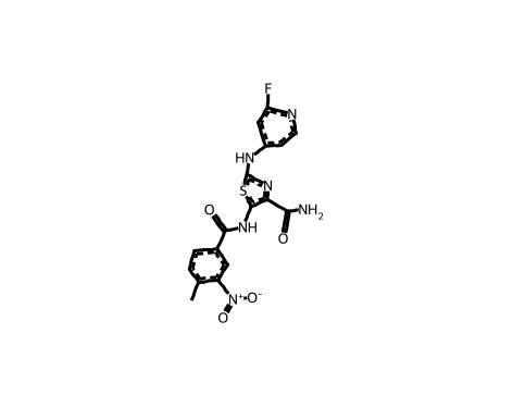 Cc1ccc(C(=O)Nc2sc(Nc3ccnc(F)c3)nc2C(N)=O)cc1[N+](=O)[O-]